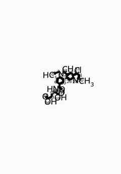 C#CCN(c1ccc(C(=O)N[C@@H](CCC(=O)O)C(=O)O)cc1)C(C)c1ccc2nc(C)cc(Cl)c2c1